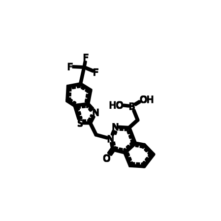 O=c1c2ccccc2c(CB(O)O)nn1Cc1nc2cc(C(F)(F)F)ccc2s1